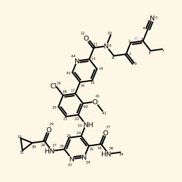 C=C(/C=C(/C#N)CC)CN(C)C(=O)c1ccc(-c2c(Cl)ccc(Nc3cc(NC(=O)C4CC4)nnc3C(=O)NC)c2OC)cn1